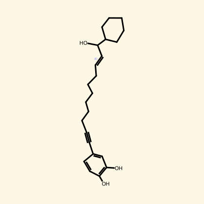 Oc1ccc(C#CCCCCCC/C=C/C(O)C2CCCCC2)cc1O